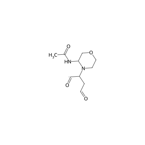 CC(=O)NC1COCCN1C([C]=O)CC=O